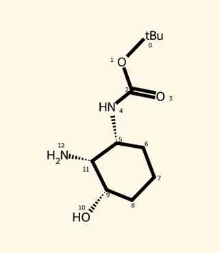 CC(C)(C)OC(=O)N[C@@H]1CCC[C@H](O)[C@@H]1N